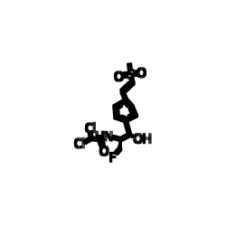 CS(=O)(=O)/C=C/c1ccc([C@@H](O)[C@@H](CF)NC(=O)C(Cl)Cl)cc1